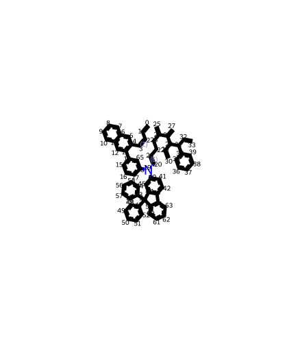 C=C/C=C\c1cc2ccccc2cc1-c1cccc(N(/C=C/CCC(=C)C(=C)C(C=C)C(C=C)c2ccccc2)c2ccc3c(c2)C(c2ccccc2)(c2ccccc2)c2ccccc2-3)c1